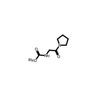 COC(=O)NCC(=O)N1CCCC1